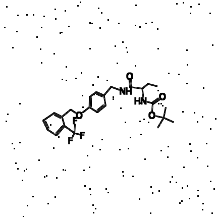 CCC(NC(=O)OC(C)(C)C)C(=O)NCc1ccc(OCc2ccccc2C(F)(F)F)cc1